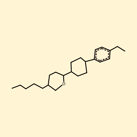 CCCCCC1CCC(C2CCC(c3ccc(CC)cc3)CC2)OC1